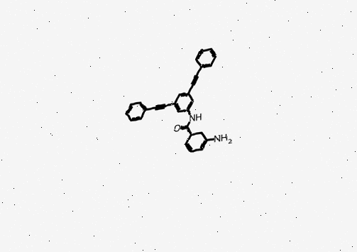 NC1=CC=CC(C(=O)Nc2cc(C#Cc3ccccc3)cc(C#Cc3ccccc3)c2)C1